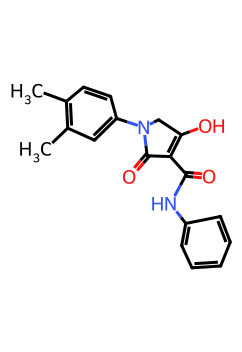 Cc1ccc(N2CC(O)=C(C(=O)Nc3ccccc3)C2=O)cc1C